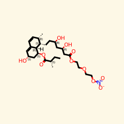 CC[C@H](C)C(=O)O[C@H]1C[C@H](O)C=C2C=C[C@H](C)[C@H](CC[C@@H](O)C[C@@H](O)CC(=O)OCCOCCO[N+](=O)[O-])[C@H]21